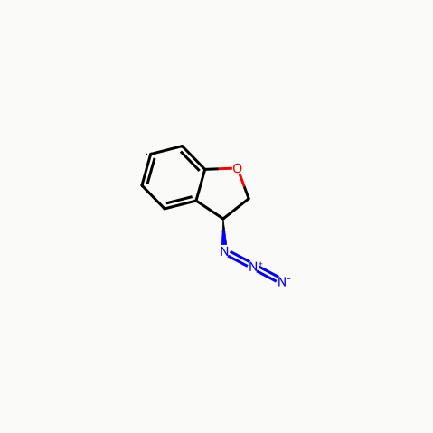 [N-]=[N+]=N[C@@H]1COc2c[c]ccc21